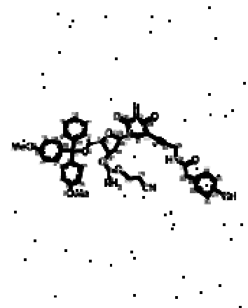 COc1ccc(C(OC[C@H]2O[C@@H](n3cc(C#CCNC(=O)Cc4ccc(O)cc4)c(=O)[nH]c3=O)CC2OP(N)OCCC#N)(c2ccccc2)c2ccc(OC)cc2)cc1